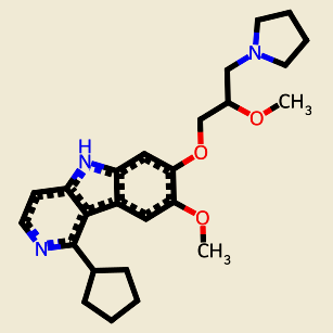 COc1cc2c(cc1OCC(CN1CCCC1)OC)[nH]c1ccnc(C3CCCC3)c12